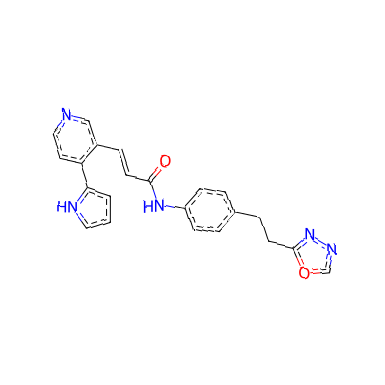 O=C(C=Cc1cnccc1-c1ccc[nH]1)Nc1ccc(CCc2nnco2)cc1